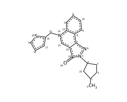 CC1CCC(n2nc3c4ccccc4n(Cc4cccs4)cc-3c2=O)C1